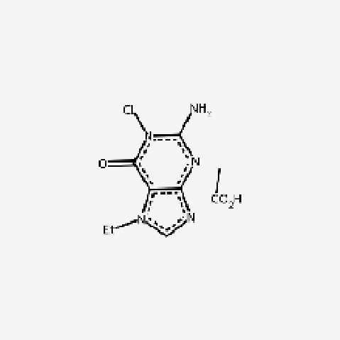 CC(=O)O.CCn1cnc2nc(N)n(Cl)c(=O)c21